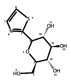 OC[C@H]1OC(c2nccs2)[C@H](O)[C@@H](O)[C@@H]1O